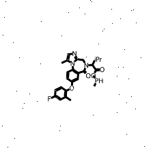 CPOC(=O)C(C(C)C)N1Cc2ncc(C)n2-c2ccc(Oc3ccc(F)cc3C)cc2C1=O